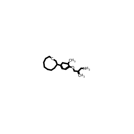 C=C(CN)COC1=CC=C(C2CCCCCCCCC2)CC1C